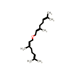 CC(C)=CCCC(C)=CCOC/C=C(\C)CCC=C(C)C